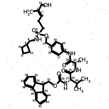 C/C(=C\CCP(=O)(NCC1CCC1)OCc1ccc(NC(=O)[C@H](C)NC(=O)[C@@H](NC(=O)OCC2c3ccccc3-c3ccccc32)C(C)C)cc1)CO